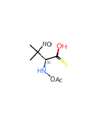 CC(=O)ON[C@H](C(O)=S)C(C)(C)N=O